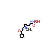 Cn1c(/C=C/C(=O)NO)ccc1/C=C/C(=O)c1ccccc1